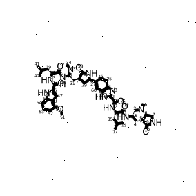 C=NC[C@H](C[C@@H]1CCNC1=O)NC(=O)[C@H](CC(C)C)NC(=O)c1nc2ccc(C3C[C@@H](C[C@@H](N=C)NC(=O)[C@H](CC(C)C)NC(=O)c4cc5c(OC)cccc5[nH]4)C(=O)N3)cc2[nH]1